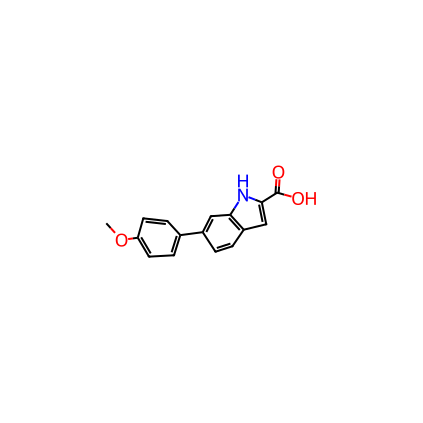 COc1ccc(-c2ccc3cc(C(=O)O)[nH]c3c2)cc1